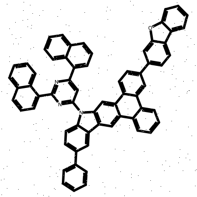 c1ccc(-c2ccc3c(c2)c2cc4c5ccccc5c5cc(-c6ccc7c(c6)oc6ccccc67)ccc5c4cc2n3-c2cc(-c3cccc4ccccc34)nc(-c3cccc4ccccc34)n2)cc1